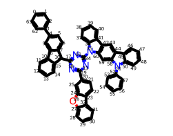 c1ccc(-c2ccc3c(c2)-c2ccccc2C3c2nc(-c3ccc4c(c3)oc3ccccc34)nc(-n3c4ccccc4c4cc5c6ccccc6n(-c6ccccc6)c5cc43)n2)cc1